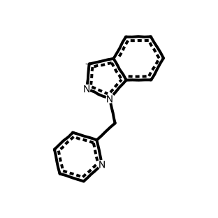 [c]1nn(Cc2ccccn2)c2ccccc12